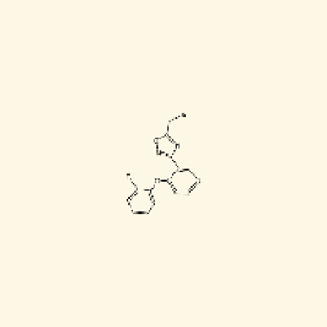 Fc1ccccc1Oc1ccccc1-c1noc(CBr)n1